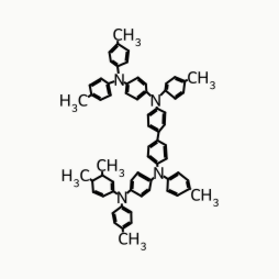 Cc1ccc(N(C2=CC(C)C(C)C=C2)c2ccc(N(c3ccc(C)cc3)c3ccc(-c4ccc(N(c5ccc(C)cc5)c5ccc(N(c6ccc(C)cc6)c6ccc(C)cc6)cc5)cc4)cc3)cc2)cc1